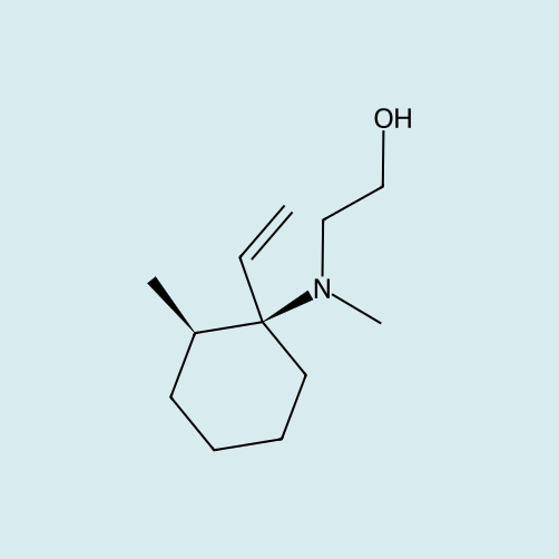 C=C[C@]1(N(C)CCO)CCCC[C@H]1C